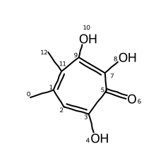 Cc1cc(O)c(=O)c(O)c(O)c1C